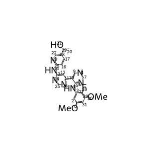 COc1cc(Nc2ncncc2-c2cc(Nc3ccc(C(C)O)cn3)ncn2)c(F)c(OC)c1